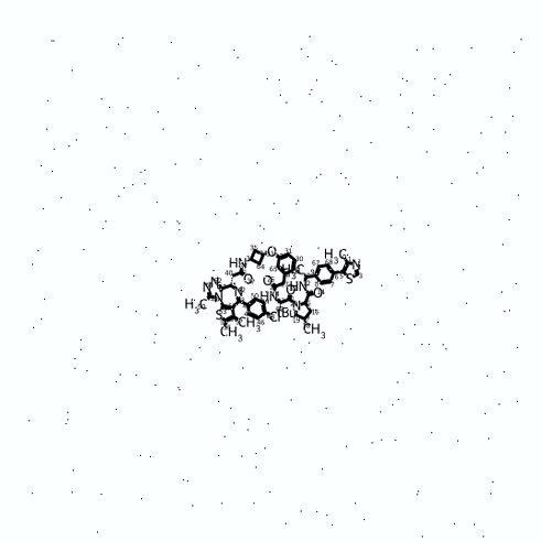 Cc1ncsc1-c1ccc([C@H](C)NC(=O)C2C[C@@H](C)CN2C(=O)[C@@H](NC(=O)Cc2cccc(O[C@H]3C[C@@H](NC(=O)C[C@@H]4N=C(c5ccc(Cl)cc5)c5c(sc(C)c5C)-n5c(C)nnc54)C3)c2)C(C)(C)C)cc1